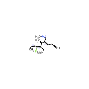 C#CC/C=C(\C=N/C)C(=C)/C(CNC)=C(F)\C=C/C